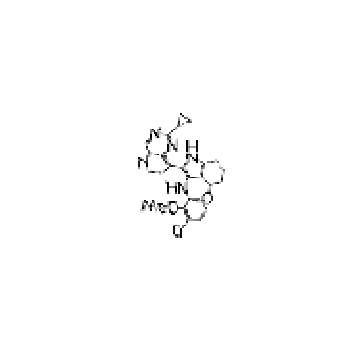 COc1c(Cl)cccc1Nc1c(-c2ccnc3cnc(C4CC4)nc23)[nH]c2c1C(=O)CCC2